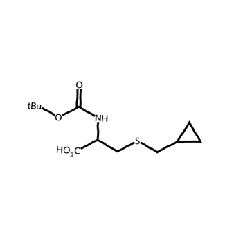 CC(C)(C)OC(=O)NC(CSCC1CC1)C(=O)O